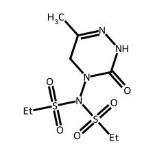 CCS(=O)(=O)N(N1CC(C)=NNC1=O)S(=O)(=O)CC